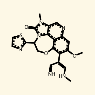 CN/C=C(\C=N)c1c(OC)cc2ncc3c4c2c1OCC(c1nccs1)n4c(=O)n3C